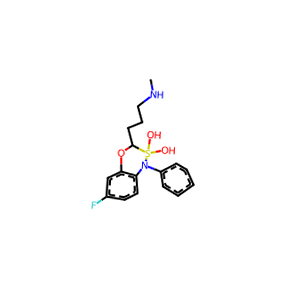 CNCCCC1Oc2cc(F)ccc2N(c2ccccc2)S1(O)O